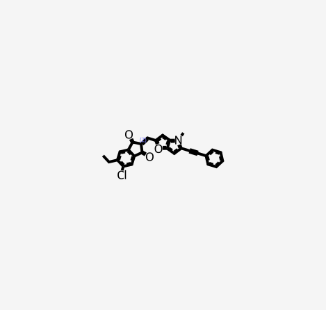 CCc1cc2c(cc1Cl)C(=O)/C(=C\c1cc3c(cc(C#Cc4ccccc4)n3C)o1)C2=O